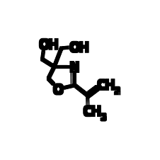 C=C(C)C1=NC(CO)(CO)CO1